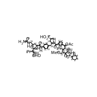 CC[C@H](C)[C@H](NC(=O)[C@H]1CCCCN1C)C(=O)N(COC)[C@H](C[C@@H](OC(C)=O)c1nc(C(=O)N[C@@H](Cc2ccc(NC(=O)[C@H](CCCNC(N)=O)NC(=O)[C@@H](NC=O)C(C)C)cc2)CC(C)C(=O)O)cs1)C(C)C